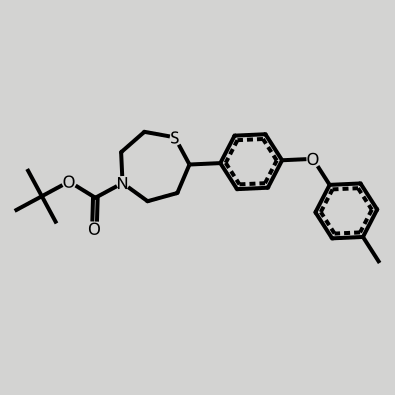 Cc1ccc(Oc2ccc(C3CCN(C(=O)OC(C)(C)C)CCS3)cc2)cc1